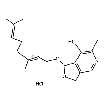 CC(C)=CCC/C(C)=C/COC1OCc2cnc(C)c(O)c21.Cl